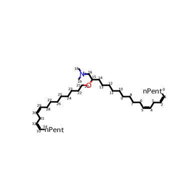 CCCCC/C=C\C/C=C\CCCCCCCCCC(CN(C)C)OCCCCCCCC/C=C\C/C=C\CCCCC